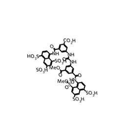 COC(=O)c1cc(NC(=O)Nc2cc(C(=O)O)cc(C(=O)Nc3ccc(S(=O)(=O)O)c4cc(S(=O)(=O)O)cc(S(=O)(=O)O)c34)c2)cc(C(=O)Nc2ccc(S(=O)(=O)O)c3cc(S(=O)(=O)O)cc(S(=O)(=O)OC)c23)c1